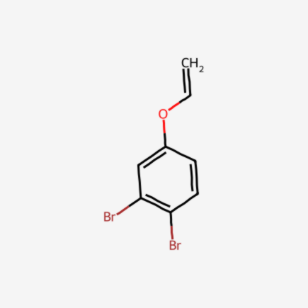 C=COc1ccc(Br)c(Br)c1